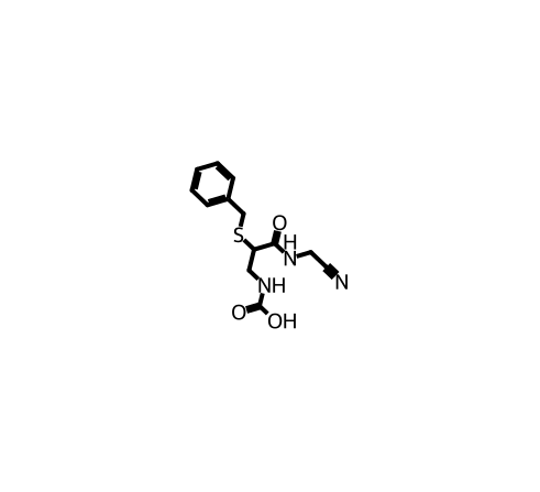 N#CCNC(=O)C(CNC(=O)O)SCc1ccccc1